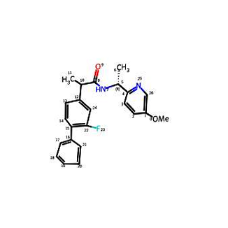 COc1ccc([C@@H](C)NC(=O)C(C)c2ccc(-c3ccccc3)c(F)c2)nc1